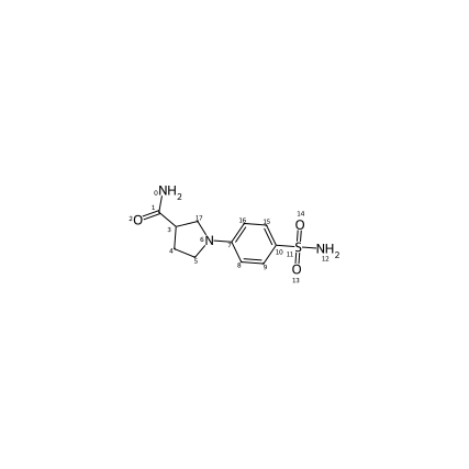 NC(=O)C1CCN(c2ccc(S(N)(=O)=O)cc2)C1